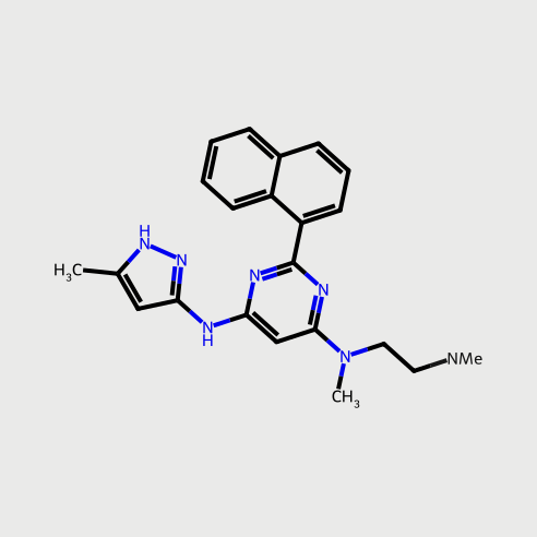 CNCCN(C)c1cc(Nc2cc(C)[nH]n2)nc(-c2cccc3ccccc23)n1